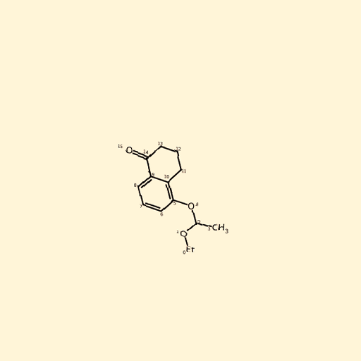 CCOC(C)Oc1cccc2c1CCCC2=O